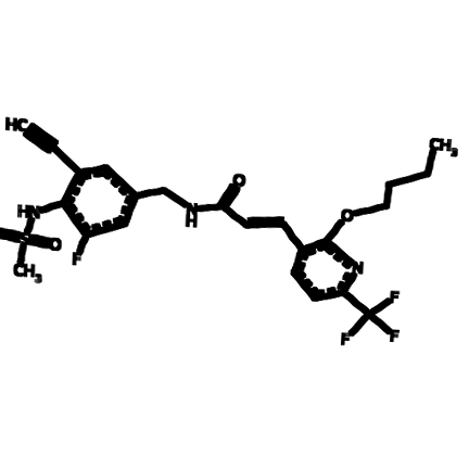 C#Cc1cc(CNC(=O)C=Cc2ccc(C(F)(F)F)nc2OCCCC)cc(F)c1NS(C)(=O)=O